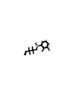 C=CC(C)(C)C(C)(C)CB(C)c1cccc(C)c1C